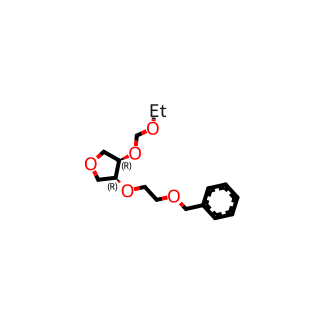 CCOCO[C@@H]1COC[C@H]1OCCOCc1ccccc1